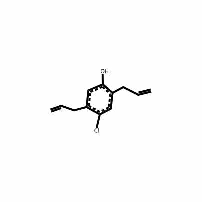 C=CCc1cc(Cl)c(CC=C)cc1O